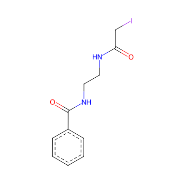 O=C(CI)NCCNC(=O)c1ccccc1